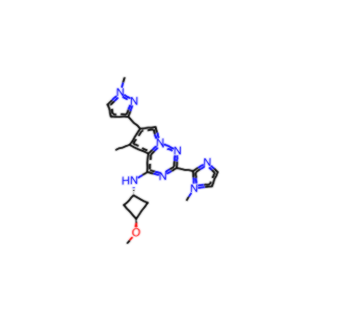 CO[C@H]1C[C@H](Nc2nc(-c3nccn3C)nn3cc(-c4ccn(C)n4)c(C)c23)C1